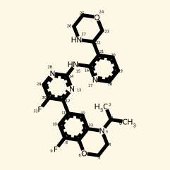 CC(C)N1CCOc2c(F)cc(-c3nc(Nc4ncccc4C4COCCN4)ncc3F)cc21